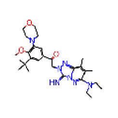 CCN(CC)c1nn2c(=N)n(CC(=O)c3cc(N4CCOCC4)c(OC)c(C(C)(C)C)c3)nc2c(C)c1C